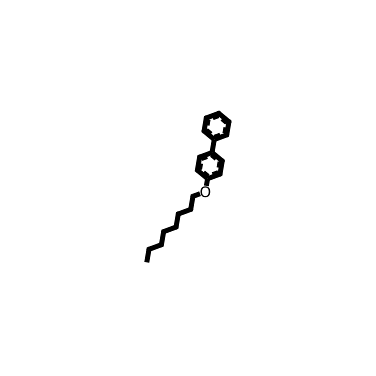 CCCCCCCCOc1ccc(-c2ccccc2)cc1